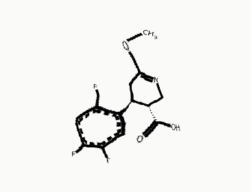 COC1=NC[C@H](C(=O)O)[C@@H](c2cc(F)c(F)cc2F)C1